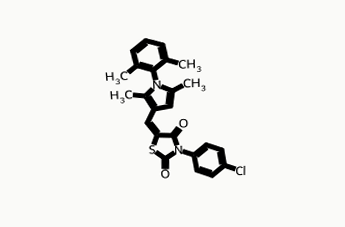 Cc1cccc(C)c1-n1c(C)cc(/C=C2/SC(=O)N(c3ccc(Cl)cc3)C2=O)c1C